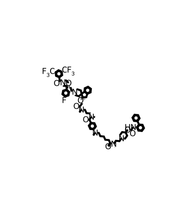 CN(CCN1CCC(OC(=O)Nc2ccccc2-c2ccccc2)CC1)C(=O)CCCCCN(C)c1ccc(C(=O)N(C)CCCN(C)C(=O)CO[C@H]2Cc3ccccc3C23CCN(CC[C@]2(c4ccc(F)cc4)CN(C(=O)c4cc(C(F)(F)F)cc(C(F)(F)F)c4)CO2)CC3)cc1